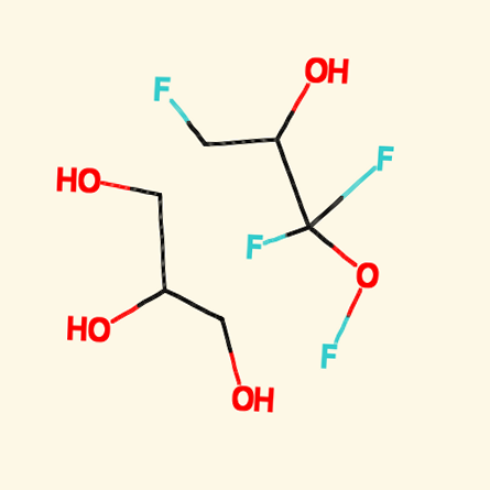 OC(CF)C(F)(F)OF.OCC(O)CO